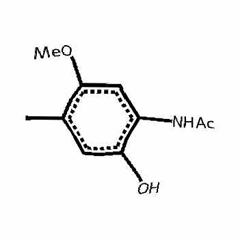 COc1cc(NC(C)=O)c(O)cc1C